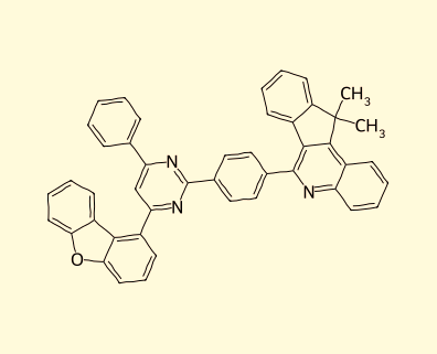 CC1(C)c2ccccc2-c2c(-c3ccc(-c4nc(-c5ccccc5)cc(-c5cccc6oc7ccccc7c56)n4)cc3)nc3ccccc3c21